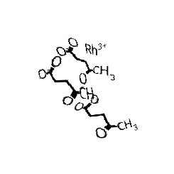 CC(=O)CCC(=O)[O-].CC(=O)CCC(=O)[O-].CC(=O)CCC(=O)[O-].[Rh+3]